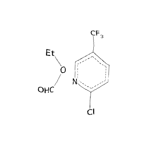 CCOC=O.FC(F)(F)c1ccc(Cl)nc1